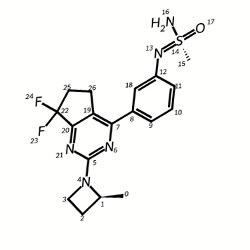 C[C@H]1CCN1c1nc(-c2cccc(N=[S@@](C)(N)=O)c2)c2c(n1)C(F)(F)CC2